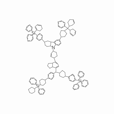 C1=CCCC([Si](c2ccccc2)(c2ccccc2)c2ccc(C3CCC4C(C3)c3cc(C5CCC(C(c6ccccc6)(C6C=CC=CC6)C6CC=CCC6)CC5)ccc3N4C3C=CC(C4=CC=C(C(c5ccc(C6CCC([Si](c7ccccc7)(c7ccccc7)C7CCCCC7)CC6)cc5)C5CCC(c6ccc([Si](c7ccccc7)(c7ccccc7)c7ccccc7)cc6)CC5)C5CCCC45)CC3)cc2)=C1